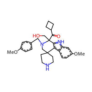 COc1ccc(CN2CC3(CCNCC3)c3c([nH]c4cc(OC)ccc34)C2(CO)C(=O)C2CCC2)cc1